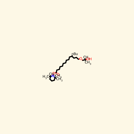 CCCCC(CCCCCCCCCC(=O)ON1C(C)(C)CCCC1(C)C)CCCOCC(C)(C)O